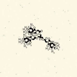 CCC(COC(=O)CN1C(=O)NC2(CC(C)(C)N(C)C(C)(C)C2)C1=O)(COC(=O)CN1C(=O)NC2(CC(C)(C)N(C)C(C)(C)C2)C1=O)COC(=O)CN1C(=O)NC2(CC(C)(C)N(C)C(C)(C)C2)C1=O